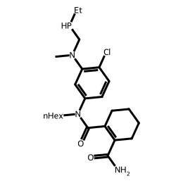 CCCCCCN(C(=O)C1=C(C(N)=O)CCCC1)c1ccc(Cl)c(N(C)CPCC)c1